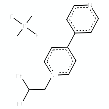 CCC(CC)C[n+]1ccc(-c2ccncc2)cc1.F[B-](F)(F)F